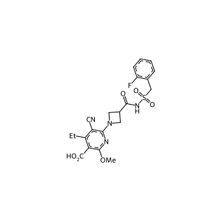 CCc1c(C#N)c(N2CC(C(=O)NS(=O)(=O)Cc3ccccc3F)C2)nc(OC)c1C(=O)O